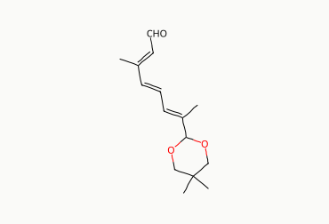 CC(C=CC=C(C)C1OCC(C)(C)CO1)=CC=O